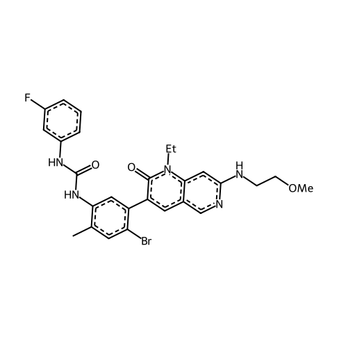 CCn1c(=O)c(-c2cc(NC(=O)Nc3cccc(F)c3)c(C)cc2Br)cc2cnc(NCCOC)cc21